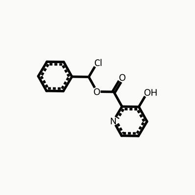 O=C(OC(Cl)c1ccccc1)c1ncccc1O